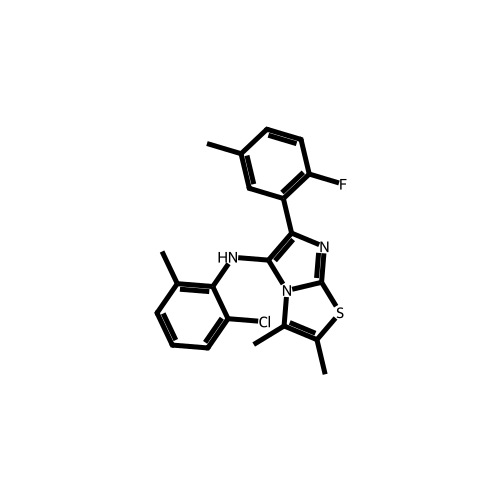 Cc1ccc(F)c(-c2nc3sc(C)c(C)n3c2Nc2c(C)cccc2Cl)c1